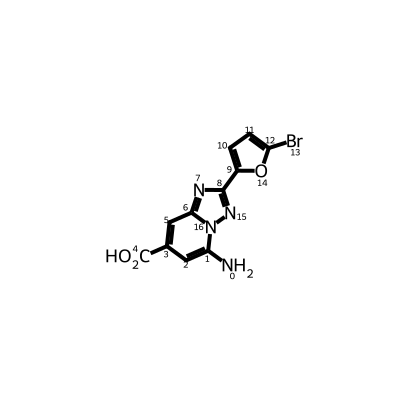 Nc1cc(C(=O)O)cc2nc(-c3ccc(Br)o3)nn12